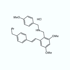 COc1ccc(CNCc2c(/C=C/c3ccc(CC(C)C)cc3)cc(OC)cc2OC)cc1.Cl